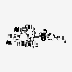 C=C[C@]1(C)C[C@@H](OC(=O)COS(=O)(=O)c2ccc(C)cc2)C(C)(C)C[C@@](CCCC)(CCC(C)=O)[C@@H](C)[C@@H]1O